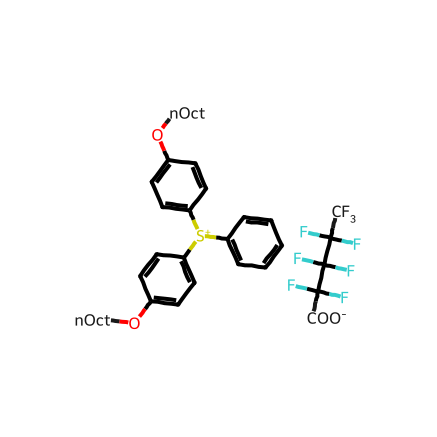 CCCCCCCCOc1ccc([S+](c2ccccc2)c2ccc(OCCCCCCCC)cc2)cc1.O=C([O-])C(F)(F)C(F)(F)C(F)(F)C(F)(F)F